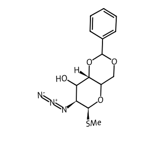 CS[C@@H]1OC2COC(c3ccccc3)O[C@H]2C(O)[C@@H]1N=[N+]=[N-]